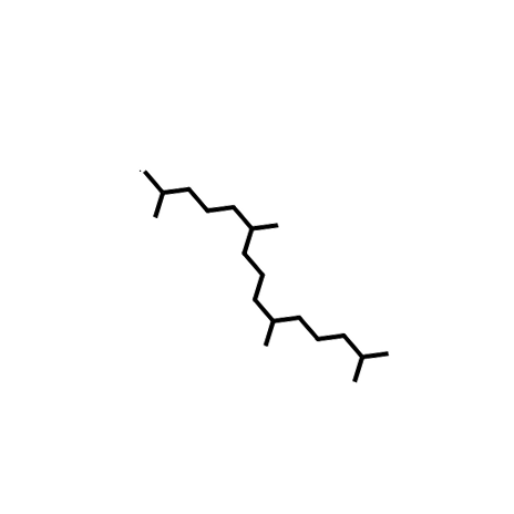 [CH2]C(C)CCCC(C)CCCC(C)CCCC(C)C